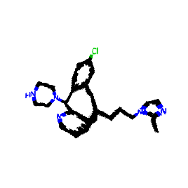 Cc1nccn1CCCC1Cc2cc(Cl)ccc2C(N2CCNCC2)c2ncccc21